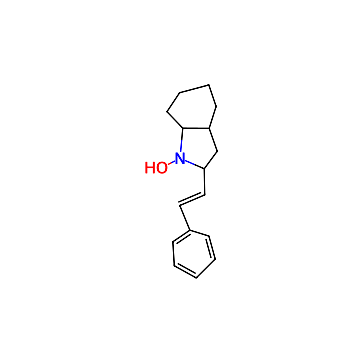 ON1C(C=Cc2ccccc2)CC2CCCCC21